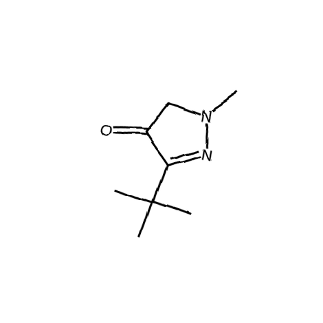 CN1CC(=O)C(C(C)(C)C)=N1